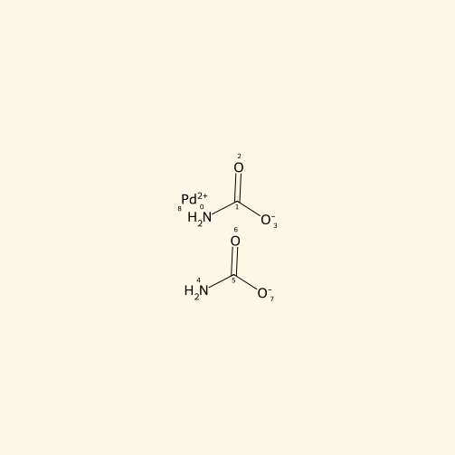 NC(=O)[O-].NC(=O)[O-].[Pd+2]